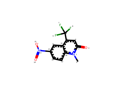 Cn1c(=O)cc(C(F)(F)F)c2cc([N+](=O)[O-])ccc21